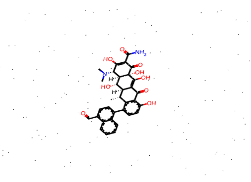 C[C@H]1c2c(-c3ccc(C=O)c4ccccc34)ccc(O)c2C(=O)C2=C(O)[C@]3(O)C(=O)C(C(N)=O)=C(O)[C@@H](N(C)C)[C@@H]3[C@@H](O)[C@@H]21